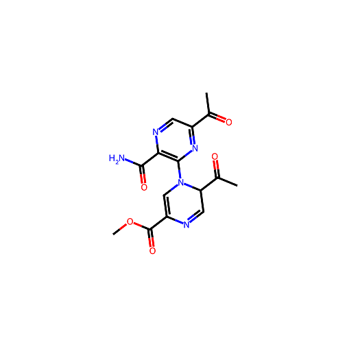 COC(=O)C1=CN(c2nc(C(C)=O)cnc2C(N)=O)C(C(C)=O)C=N1